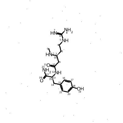 CN[C@@H](CCNC(=N)N)CC(=O)N[C@@H](Cc1ccc(O)cc1)C(N)=O